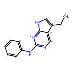 CCc1c[nH]c2nc(Nc3ccccc3)ncc12